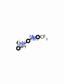 CC(C)c1ccccc1N1CCS/C1=N\N=C\c1ccc(C2N=CN(c3ccc(C(F)(F)F)cc3)N2)cc1